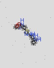 N[C@H](CNC1=NCC(c2ccc3c(c2)/C(=C/C2=CCCO2)C(=O)N3)S1)Cc1c[nH]c2ccccc12